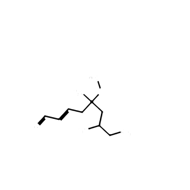 CCC(C)CC(C)(CC=CC=O)OC